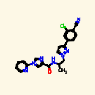 CC(Cn1ccc(-c2ccc(C#N)c(Cl)c2)n1)NC(=O)c1cn(-c2ccccn2)cn1